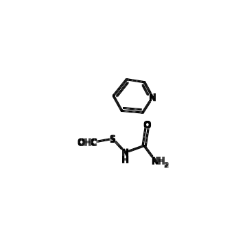 NC(=O)NSC=O.c1ccncc1